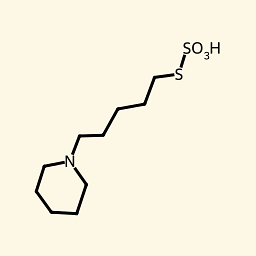 O=S(=O)(O)SCCCCCN1CCCCC1